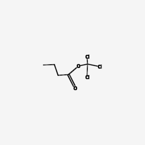 CCCC(=O)OC(Cl)(Cl)Cl